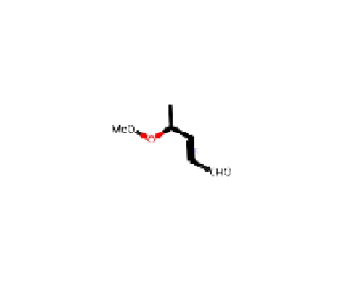 COOC(C)/C=C/C=O